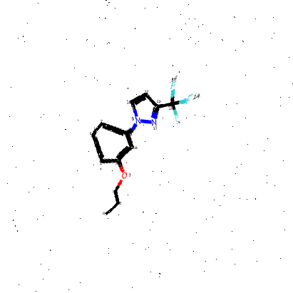 CCCOc1cccc(-n2ccc(C(F)(F)F)n2)c1